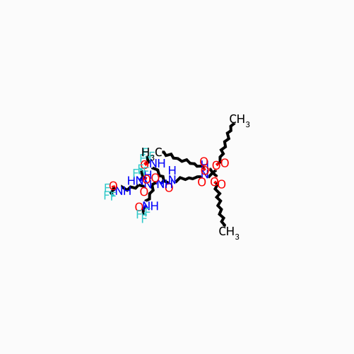 CCCCCCCCCCCC(=O)OCC(CNC(=O)CCCCCCNC(=O)C(CCCCNC(=O)C(F)(F)F)NC(=O)C(CCCCNC(=O)C(F)(F)F)NC(=O)C(CCCCNC(=O)C(F)(F)F)NC(=O)C(F)(F)F)(COC(=O)CCCCCCCCCCC)COC(=O)CCCCCCCCCCC